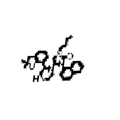 CCCCN1CC(N2CCNCC2c2cccc3c2OC(C)(C)C3)N(c2cccc3ccccc23)C1=O